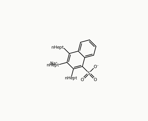 CCCCCCCc1c(CCCCCCC)c(S(=O)(=O)[O-])c2ccccc2c1CCCCCCC.[Na+]